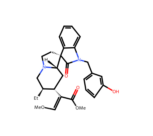 CC[C@H]1CN2CC[C@]3(C(=O)N(Cc4cccc(O)c4)c4ccccc43)[C@@H]2C[C@@H]1/C(=C\OC)C(=O)OC